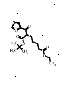 CCOC(=O)CCCCC(C(=O)OC(C)(C)C)C(=O)c1cnco1